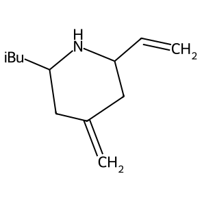 C=CC1CC(=C)CC(C(C)CC)N1